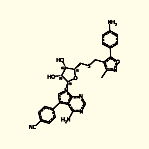 Cc1noc(-c2ccc(N)cc2)c1CSC[C@H]1O[C@@H](n2cc(-c3ccc(C#N)cc3)c3c(N)ncnc32)[C@H](O)[C@@H]1O